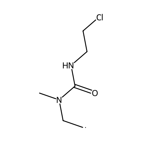 [CH2]CN(C)C(=O)NCCCl